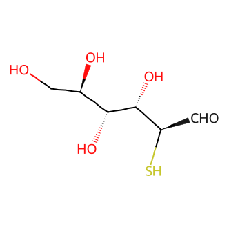 O=C[C@@H](S)[C@@H](O)[C@H](O)[C@H](O)CO